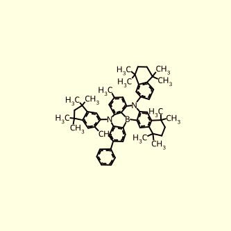 Cc1cc2c3c(c1)N(c1cc4c(cc1C)C(C)(C)CC4(C)C)c1cc(-c4ccccc4)ccc1B3c1cc3c(cc1N2c1ccc2c(c1)C(C)(C)CCC2(C)C)C(C)(C)CCC3(C)C